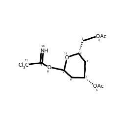 CC(=O)OC[C@@H]1C[C@H](OC(C)=O)CC(OC(=N)C(Cl)(Cl)Cl)O1